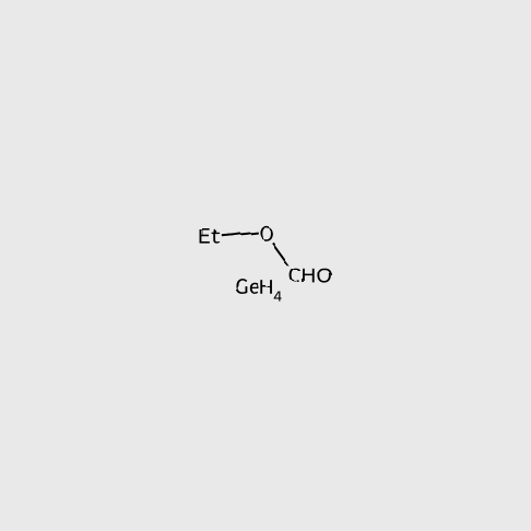 CCOC=O.[GeH4]